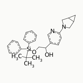 CC(C)(C)[Si](OCC(O)c1ccc(N2CC3CC3C2)nc1)(c1ccccc1)c1ccccc1